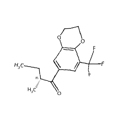 CC[C@@H](C)C(=O)c1cc2c(c(C(F)(F)F)c1)OCCO2